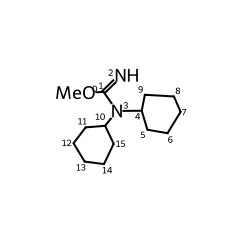 COC(=N)N(C1CCCCC1)C1CCCCC1